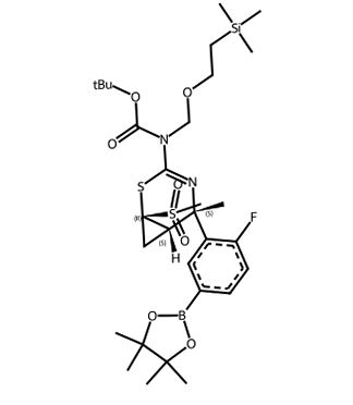 CC(C)(C)OC(=O)N(COCC[Si](C)(C)C)C1=N[C@](C)(c2cc(B3OC(C)(C)C(C)(C)O3)ccc2F)[C@@H]2C[C@]2(S(C)(=O)=O)S1